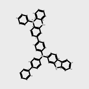 c1ccc(-c2ccc(N(c3ccc(-c4ccc5c(c4)Sc4ccccc4N5c4ccccc4)cc3)c3ccc4c(c3)oc3ccccc34)cc2)cc1